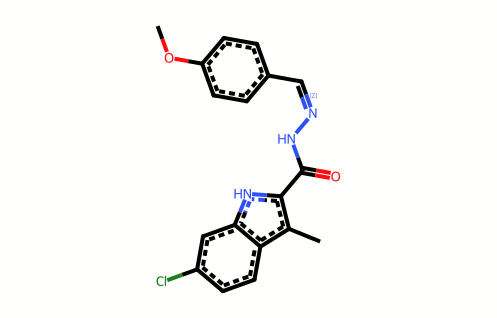 COc1ccc(/C=N\NC(=O)c2[nH]c3cc(Cl)ccc3c2C)cc1